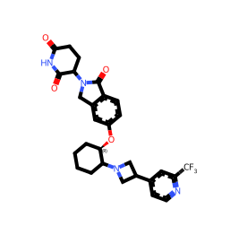 O=C1CCC(N2Cc3cc(O[C@@H]4CCCCC4N4CC(c5ccnc(C(F)(F)F)c5)C4)ccc3C2=O)C(=O)N1